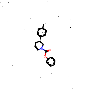 Cc1ccc([C@@H]2CC=CN(C(=O)Oc3ccccc3)C2)cc1